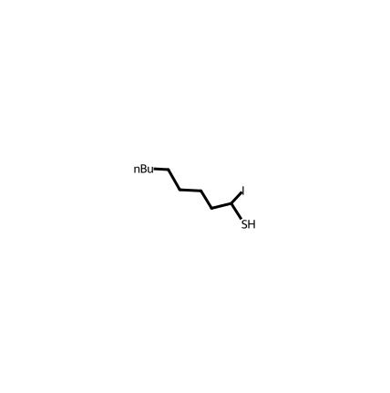 CCCCCCCCC(S)I